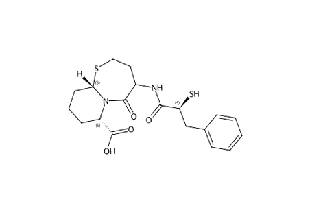 O=C(NC1CCS[C@H]2CCC[C@@H](C(=O)O)N2C1=O)[C@@H](S)Cc1ccccc1